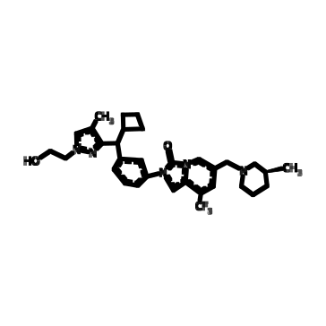 Cc1cn(CCO)nc1C(c1cccc(-n2cc3c(C(F)(F)F)cc(CN4CCC[C@H](C)C4)cn3c2=O)c1)C1CCC1